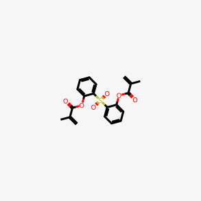 C=C(C)C(=O)Oc1ccccc1S(=O)(=O)c1ccccc1OC(=O)C(=C)C